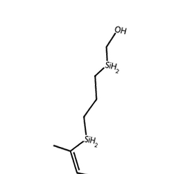 CC=C(C)[SiH2]CCC[SiH2]CO